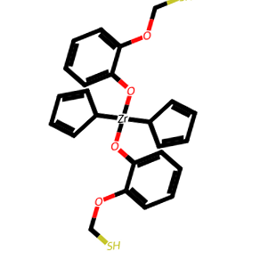 SCOc1ccccc1[O][Zr]([O]c1ccccc1OCS)([CH]1C=CC=C1)[CH]1C=CC=C1